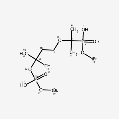 CC(C)OP(=O)(O)C(C)(C)OCCC(C)(C)OP(=O)(O)OC(C)(C)C